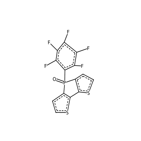 O=P1(c2c(F)c(F)c(F)c(F)c2F)c2ccsc2-c2sccc21